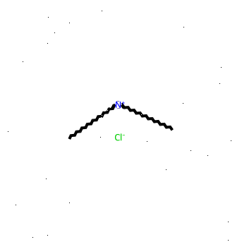 CCCCCCCCCCCCCCCCC=C[N+](C)(C)C=CCCCCCCCCCCCCCCCC.[Cl-]